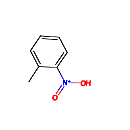 Cc1ccccc1[N+](=O)O